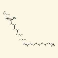 CCCCCCCC/C=C\CCCCCCCCC(=O)NCCl